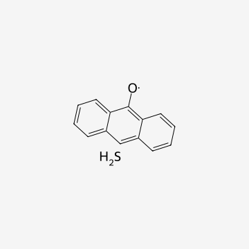 S.[O]c1c2ccccc2cc2ccccc12